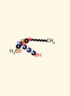 CCCCCCCCCCCCOc1ccc(S(=O)(=O)c2cnc3ccc([S+](C)[O-])cc3c2N2CCC(N3CCC(N4CCC(O)CC4)CC3)CC2)cc1